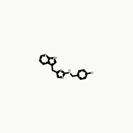 Clc1ccc(CNc2ncc(Cc3c[nH]c4ncccc34)s2)cc1